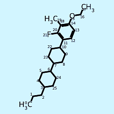 CCCC1CCC(C2CCC(c3ccc(OCC)c(C)c3F)CC2)CC1